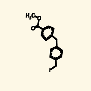 COC(=O)c1ccc(Cc2ccc(CI)cc2)cc1